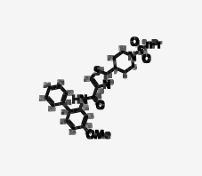 CCCS(=O)(=O)N1CCC(c2nc(C(=O)Nc3cc(OC)ccc3-c3ccccc3)cs2)CC1